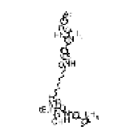 CC(=O)N1CCC(OC(=O)Nc2cc(-c3ccc4nc(NC(=O)CCCCCCCCCCC(=O)N[C@H](C(=O)N5C[C@H](O)C[C@H]5C(=O)NCc5ccc(-c6scnc6C)cc5)C(C)(C)C)sc4c3)cnc2C)CC1